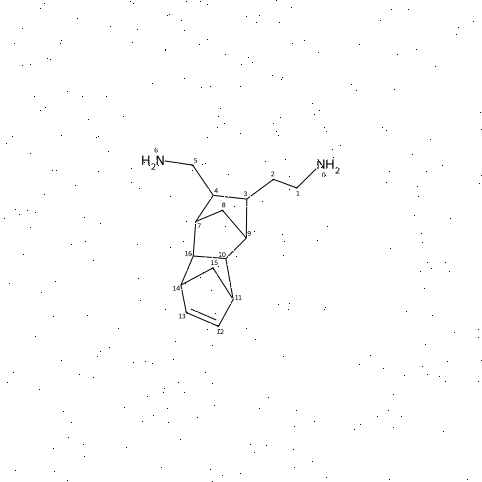 NCCC1C(CN)C2CC1C1C3C=CC(C3)C21